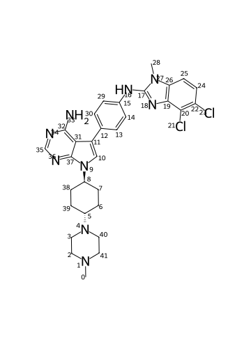 CN1CCN([C@H]2CC[C@H](n3cc(-c4ccc(Nc5nc6c(Cl)c(Cl)ccc6n5C)cc4)c4c(N)ncnc43)CC2)CC1